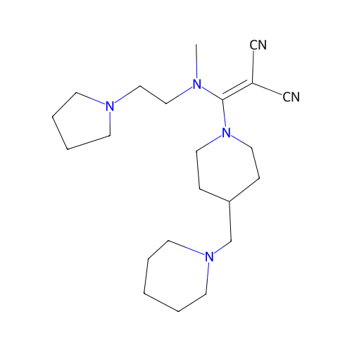 CN(CCN1CCCC1)C(=C(C#N)C#N)N1CCC(CN2CCCCC2)CC1